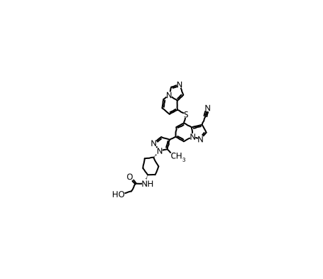 Cc1c(-c2cc(Sc3cccn4cncc34)c3c(C#N)cnn3c2)cnn1[C@H]1CC[C@@H](NC(=O)CO)CC1